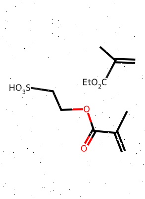 C=C(C)C(=O)OCC.C=C(C)C(=O)OCCS(=O)(=O)O